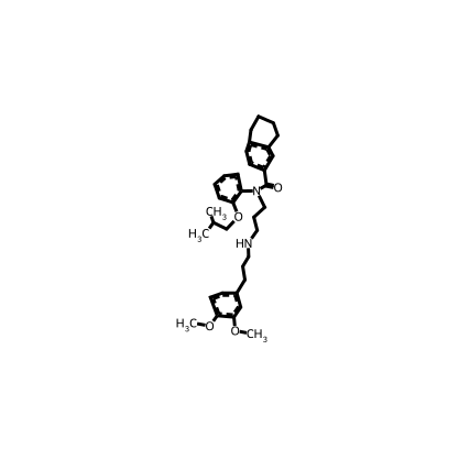 COc1ccc(CCCNCCCN(C(=O)c2ccc3c(c2)CCCC3)c2ccccc2OCC(C)C)cc1OC